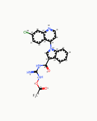 N=C(NOC(=O)C(F)(F)F)NC(=O)c1cn(-c2ccnc3cc(Cl)ccc23)c2ccccc12